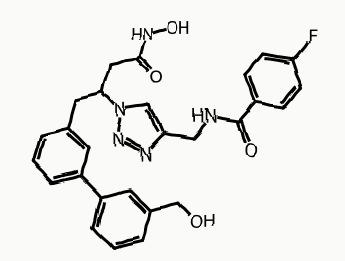 O=C(CC(Cc1cccc(-c2cccc(CO)c2)c1)n1cc(CNC(=O)c2ccc(F)cc2)nn1)NO